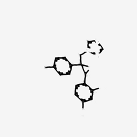 Clc1ccc(C2(Cn3cncn3)OC2c2ccc(Cl)cc2Cl)cc1